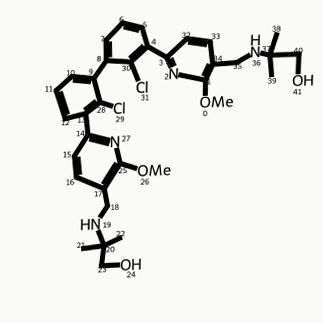 COc1nc(-c2cccc(-c3cccc(-c4ccc(CNC(C)(C)CO)c(OC)n4)c3Cl)c2Cl)ccc1CNC(C)(C)CO